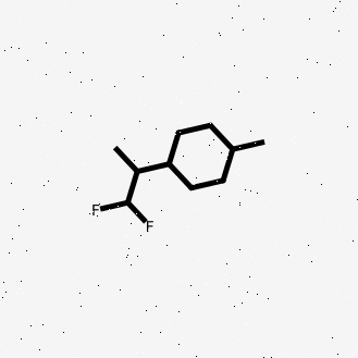 CC1CCC(C(C)C(F)F)CC1